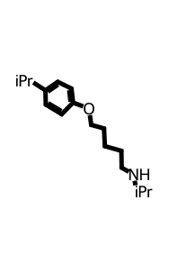 CC(C)NCCCCCOc1ccc(C(C)C)cc1